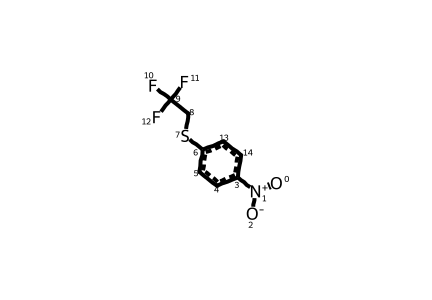 O=[N+]([O-])c1ccc(SCC(F)(F)F)cc1